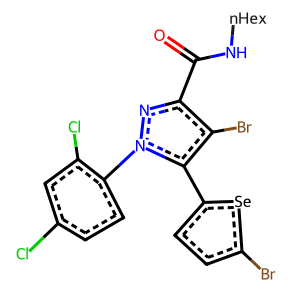 CCCCCCNC(=O)c1nn(-c2ccc(Cl)cc2Cl)c(-c2ccc(Br)[se]2)c1Br